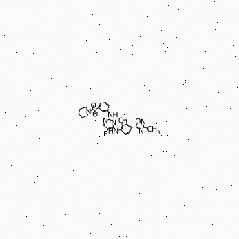 Cc1noc(-c2ccc(Nc3nc(Nc4cccc(S(=O)(=O)N5CCCCC5)c4)ncc3F)c3c2CO3)n1